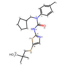 Cc1ccc(N(CC2CCCC2)C(=O)Nc2ncc(SCC(C)(C)C(=O)O)s2)cc1